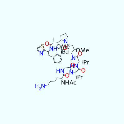 CC[C@H](C)[C@@H]([C@@H](CC(=O)N1CCC[C@H]1[C@H](OC)[C@@H](C)C(=O)N[C@@H](Cc1ccccc1)c1nccs1)OC)N(C)C(=O)[C@@H](NC(=O)[C@H](C(C)C)N(C)C(=O)CNC(=O)C(CCCCN)NC(C)=O)C(C)C